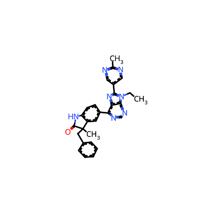 CCn1c(-c2cnc(C)nc2)nc2c(-c3ccc4c(c3)C(C)(Cc3ccccc3)C(=O)N4)ncnc21